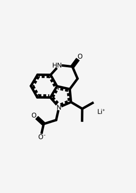 CC(C)c1c2c3c(cccc3n1CC(=O)[O-])NC(=O)C2.[Li+]